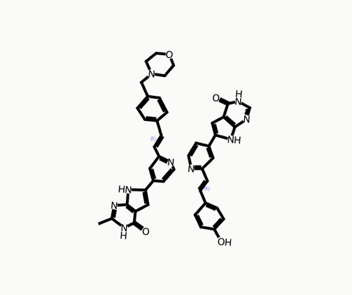 Cc1nc2[nH]c(-c3ccnc(/C=C/c4ccc(CN5CCOCC5)cc4)c3)cc2c(=O)[nH]1.O=c1[nH]cnc2[nH]c(-c3ccnc(/C=C/c4ccc(O)cc4)c3)cc12